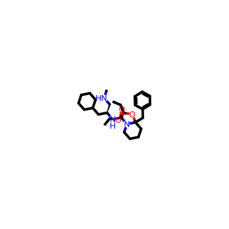 CCOC(CC)OC1(Cc2ccccc2)CCCCN1C(=O)N[C@H](CNC)CC1CCCCC1